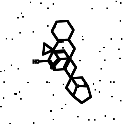 O=C(N(CCN1C2CCC1CC(c1cccc(O)c1)C2)CC1CCCCC1)C1(O)CC1